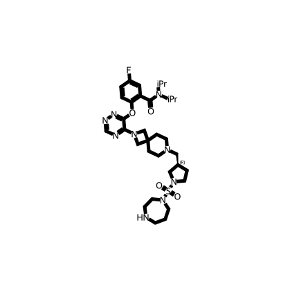 CC(C)N(C(=O)c1cc(F)ccc1Oc1nncnc1N1CC2(CCN(C[C@H]3CCN(S(=O)(=O)N4CCCNCC4)C3)CC2)C1)C(C)C